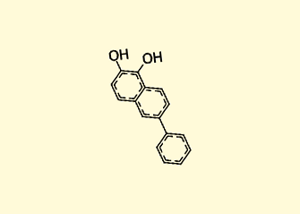 Oc1ccc2cc(-c3ccccc3)ccc2c1O